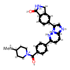 CNC1CCN(C(=O)c2ccc(-c3ccc4ncc(-c5ccc6c(c5)CNC6=O)n4n3)cc2)CC1